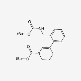 CC(C)(C)OC(=O)NCc1ccccc1C1=CN(C(=O)OC(C)(C)C)CCC1